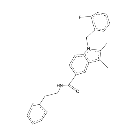 Cc1c(C)n(Cc2ccccc2F)c2ccc(C(=O)NCCc3ccccc3)cc12